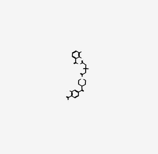 Cc1cc(C(=O)C2CCN(C(=O)CC(C)(C)Cc3nc4c(C)cccc4c(=O)[nH]3)CC2)ccc1C(N)=O